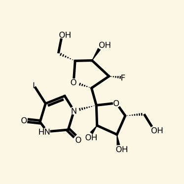 O=c1[nH]c(=O)n([C@]2([C@@H]3O[C@H](CO)[C@@H](O)[C@@H]3F)O[C@H](CO)[C@@H](O)[C@H]2O)cc1I